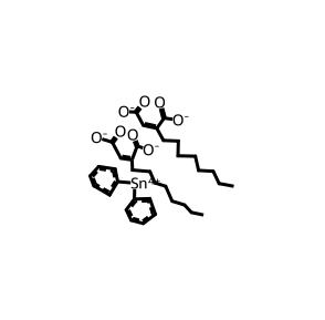 CCCCCCCC/C(=C/C(=O)[O-])C(=O)[O-].CCCCCCCC/C(=C/C(=O)[O-])C(=O)[O-].c1cc[c]([Sn+4][c]2ccccc2)cc1